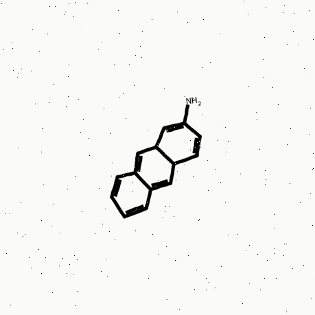 NC1=CC2C=c3ccccc3=CC2C=C1